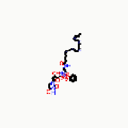 CC/C=C\C/C=C\C/C=C\C/C=C\C/C=C\CCCC(=O)NCCNP(=O)(OC[C@H]1O[C@@H](n2ccc(=O)[nH]c2=O)C[C@@H]1O)Oc1ccccc1